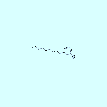 C/C=C/CCCCCCc1cccc(OC)c1